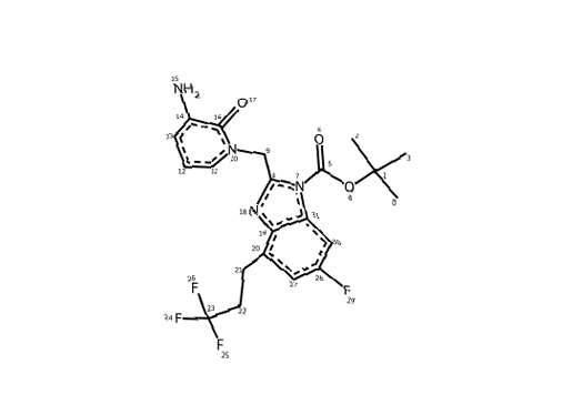 CC(C)(C)OC(=O)n1c(Cn2cccc(N)c2=O)nc2c(CCC(F)(F)F)cc(F)cc21